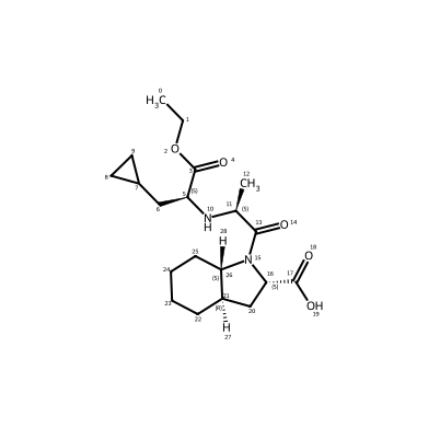 CCOC(=O)[C@H](CC1CC1)N[C@@H](C)C(=O)N1[C@H](C(=O)O)C[C@H]2CCCC[C@@H]21